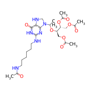 CC(=O)NCCCCCCNc1nc2c(c(=O)[nH]1)NCN2C(C)O[C@H](COC(C)=O)[C@@H](COC(C)=O)OC(C)=O